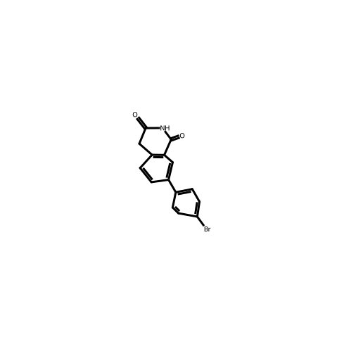 O=C1Cc2ccc(-c3ccc(Br)cc3)cc2C(=O)N1